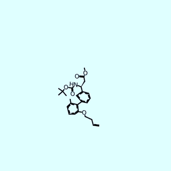 C=CCCOc1cccc(C)c1-c1cccc([C@H](CC(=O)OC)NC(=O)OC(C)(C)C)c1